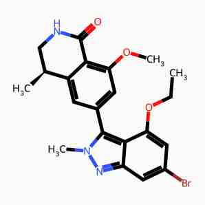 CCOc1cc(Br)cc2nn(C)c(-c3cc(OC)c4c(c3)[C@@H](C)CNC4=O)c12